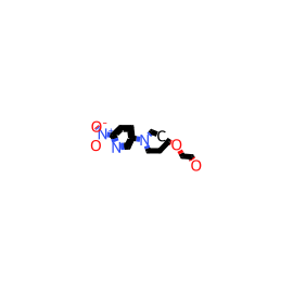 O=CCOC1CCN(c2ccc([N+](=O)[O-])nc2)CC1